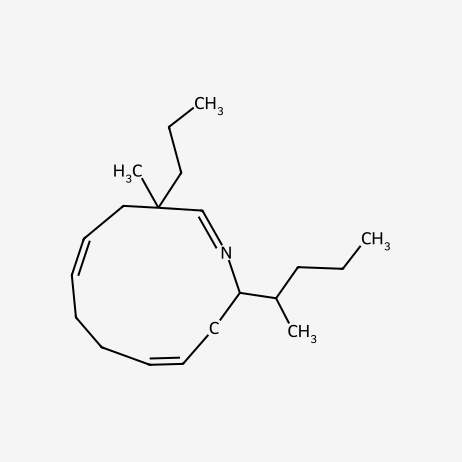 CCCC(C)C1CC=CCCC=CCC(C)(CCC)C=N1